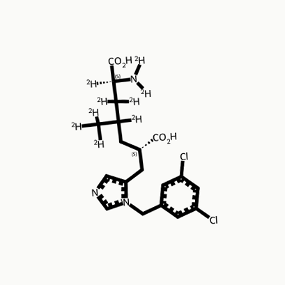 [2H]N([2H])[C@]([2H])(C(=O)O)C([2H])([2H])C([2H])(C[C@@H](Cc1cncn1Cc1cc(Cl)cc(Cl)c1)C(=O)O)C([2H])([2H])[2H]